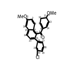 COc1ccc2c(C(=O)C3=CCC(OC)C=C3)c(-c3cccc(Cl)c3)ccc2c1